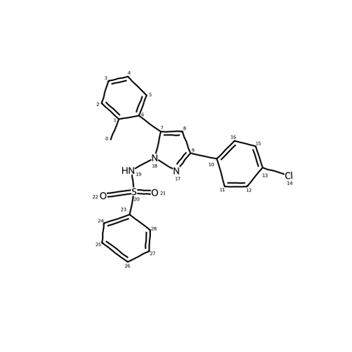 Cc1ccccc1-c1cc(-c2ccc(Cl)cc2)nn1NS(=O)(=O)c1ccccc1